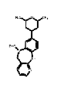 CC1CC(c2ccc3c(c2)N(C=O)Cc2cccnc2N3)CC(C)O1